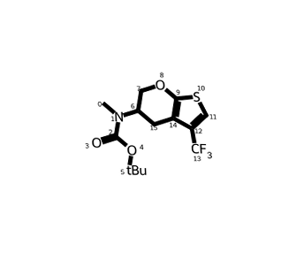 CN(C(=O)OC(C)(C)C)C1COc2scc(C(F)(F)F)c2C1